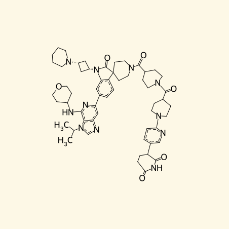 CC(C)n1cnc2cc(-c3ccc4c(c3)N([C@H]3C[C@@H](N5CCCCC5)C3)C(=O)C43CCN(C(=O)C4CCN(C(=O)C5CCN(c6ccc(C7CCC(=O)NC7=O)cn6)CC5)CC4)CC3)nc(NC3CCOCC3)c21